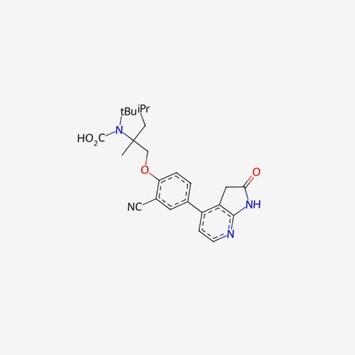 CC(C)CC(C)(COc1ccc(-c2ccnc3c2CC(=O)N3)cc1C#N)N(C(=O)O)C(C)(C)C